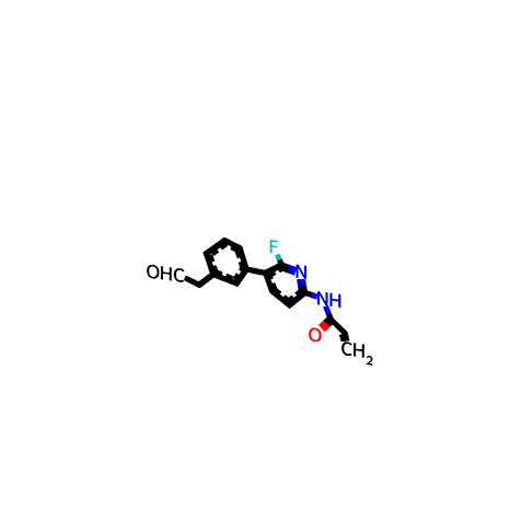 C=CC(=O)Nc1ccc(-c2cccc(CC=O)c2)c(F)n1